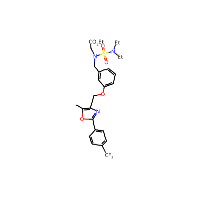 CCOC(=O)CN(Cc1cccc(OCc2nc(-c3ccc(C(F)(F)F)cc3)oc2C)c1)S(=O)(=O)N(CC)CC